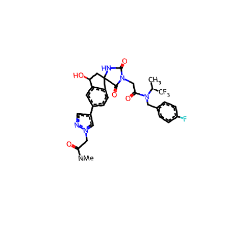 CNC(=O)Cn1cc(-c2ccc3c(c2)C(O)CC32NC(=O)N(CC(=O)N(Cc3ccc(F)cc3)[C@@H](C)C(F)(F)F)C2=O)cn1